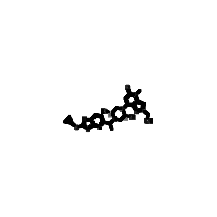 CC[C@H]1CN(C(C)c2ccc3nc(OC4CC4)sc3n2)[C@H](CC)CN1c1cc(=O)n(C)c2cn(CC#N)nc12